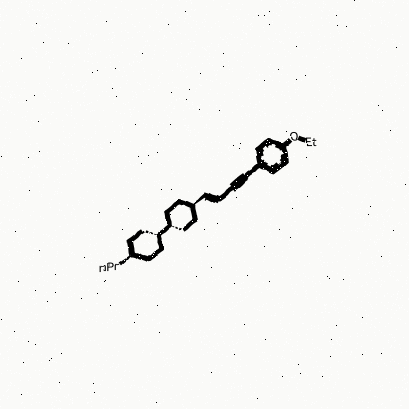 CCC[C@H]1CC[C@H]([C@H]2CC[C@H](C=CC#Cc3ccc(OCC)cc3)CC2)CC1